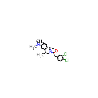 CC(CN(C)C(=O)Cc1ccc(Cl)c(Cl)c1)c1cccc(N(C)C)c1